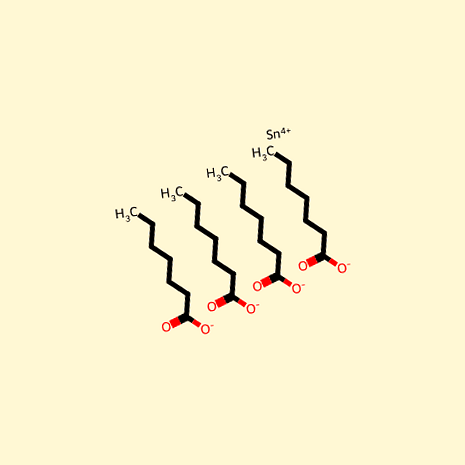 CCCCCCC(=O)[O-].CCCCCCC(=O)[O-].CCCCCCC(=O)[O-].CCCCCCC(=O)[O-].[Sn+4]